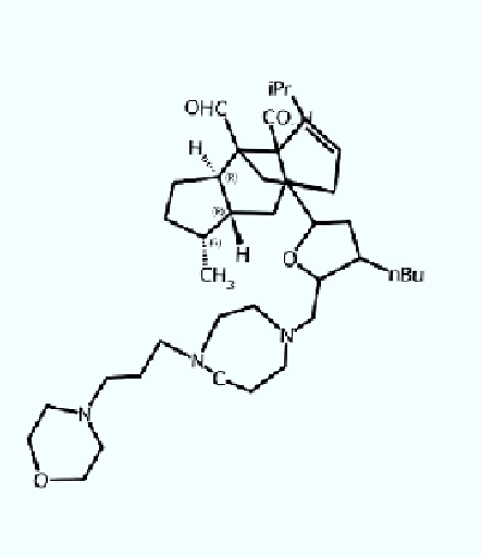 CCCCC1CC(C23C[C@@H]4[C@H](C)CC[C@H]4C4(C=O)CC2C=C(C(C)C)C34C(=O)O)OC1CN1CCCN(CCCN2CCOCC2)CC1